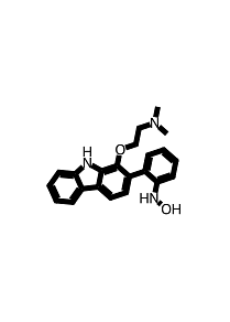 CN(C)CCOc1c(-c2ccccc2NO)ccc2c1[nH]c1ccccc12